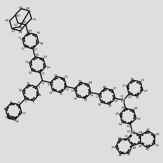 c1ccc(-c2ccc(C(c3ccc(-c4ccc(-c5ccc(N(c6ccccc6)c6ccc(-n7c8ccccc8c8ccccc87)cc6)cc5)cc4)cc3)c3ccc(-c4ccc(C56CC7CC(CC(C7)C5)C6)cc4)cc3)cc2)cc#1